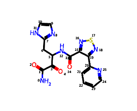 NC(=O)C(=O)C(Cc1ncc[nH]1)NC(=O)c1nsnc1-c1ccccn1